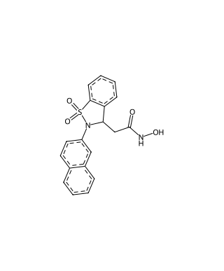 O=C(CC1c2ccccc2S(=O)(=O)N1c1ccc2ccccc2c1)NO